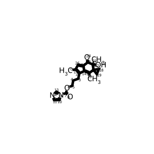 CC1=C(CCCOC(=O)n2ccnc2)C2=C(C)C3(CC3)[C@@](C)(O)C(=O)C2=C1